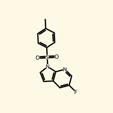 Cc1ccc(S(=O)(=O)n2ccc3cc(F)cnc32)cc1